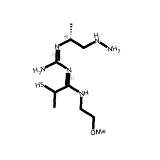 COCCN/C(=N/C(N)=N\[C@H](C)CNN)C(C)S